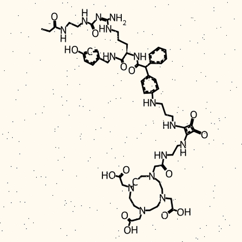 CCC(=O)NCCNC(=O)/N=C(/N)NCCC[C@@H](NC(=O)C(c1ccccc1)c1ccc(NCCCNc2c(NCCNC(=O)CN3CCN(CC(=O)O)CCN(CC(=O)O)CCN(CC(=O)O)CC3)c(=O)c2=O)cc1)C(=O)NCc1ccc(O)cc1